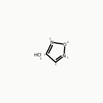 Cl.c1cnon1